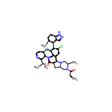 C=CC(=O)N1CC2Cc3c(c4cc(Cl)c(-c5c(C)ccc6[nH]ncc56)c(F)c4n(-c4c(C)ccnc4C(C)C)c3=O)N2CC1C